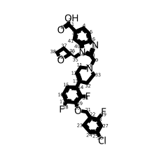 O=C(O)c1ccc2nc(CN3CC=C(c4ccc(F)c(OCc5ccc(Cl)cc5F)c4F)CC3)n(C[C@@H]3CCO3)c2c1